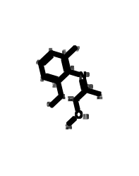 CCc1cccc(C)c1N=C(C)[CH]OC